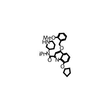 COc1ccccc1COc1cc(C(=O)N(C(C)C)[C@@H]2CCCNC2)nc2c(OC3CCCC3)cccc12